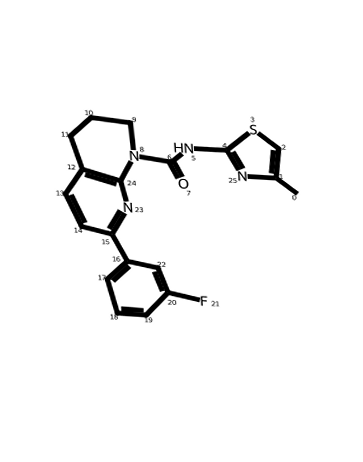 Cc1csc(NC(=O)N2CCCc3ccc(-c4cccc(F)c4)nc32)n1